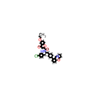 C=CCOc1ccc2oc(C(=O)N[C@@H](C=C3CCC(c4ccccc4CN4CCCC4=O)CC3)Cc3ccc(Cl)cc3)cc(=O)c2c1